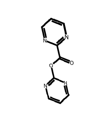 O=C(Oc1ncccn1)c1ncccn1